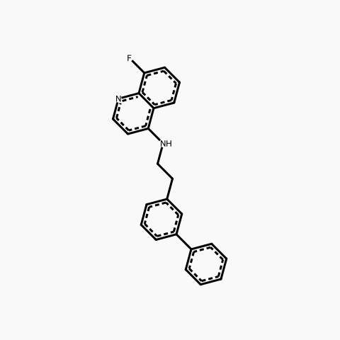 Fc1cccc2c(NCCc3cccc(-c4ccccc4)c3)ccnc12